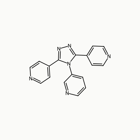 c1cncc(-n2c(-c3ccncc3)nnc2-c2ccncc2)c1